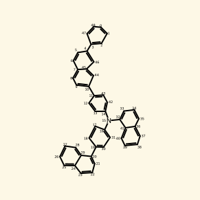 c1ccc(-c2ccc3ccc(-c4ccc(N(c5ccc(-c6cccc7ccccc67)cc5)c5cccc6ccccc56)cc4)cc3c2)cc1